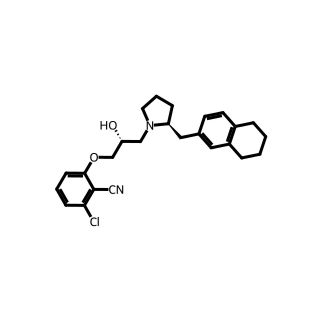 N#Cc1c(Cl)cccc1OC[C@H](O)CN1CCC[C@H]1Cc1ccc2c(c1)CCCC2